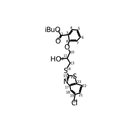 CC(C)COC(=O)c1ccccc1OCC(O)CSc1nc2cc(Cl)ccc2s1